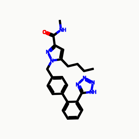 CCCCc1cc(C(=O)NC)nn1Cc1ccc(-c2ccccc2-c2nnn[nH]2)cc1